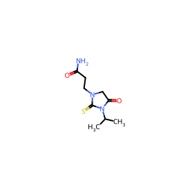 CC(C)N1C(=O)CN(CCC(N)=O)C1=S